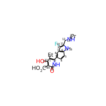 CCc1c(-c2ccc3c(c2)c(F)c(CNC(C)C)n3C)[nH]c(=O)c(C(=O)O)c1O